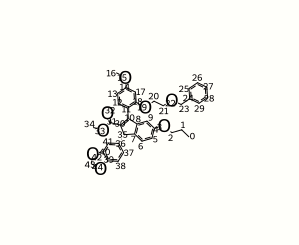 CCCOc1ccc2c(c1)C(c1ccc(OC)cc1OCCOCc1ccccc1)=C(C(=O)OC)[C@H]2c1ccc2c(c1)OCO2